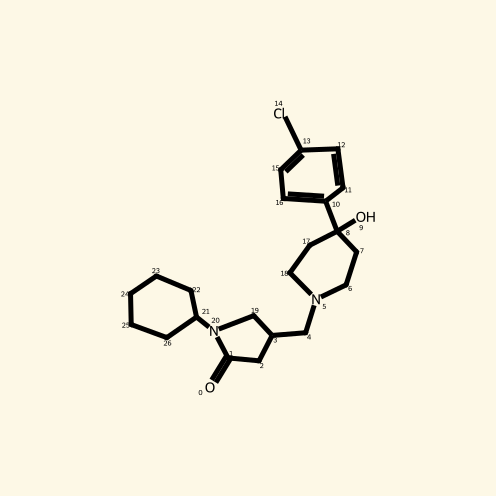 O=C1CC(CN2CCC(O)(c3ccc(Cl)cc3)CC2)CN1C1CCCCC1